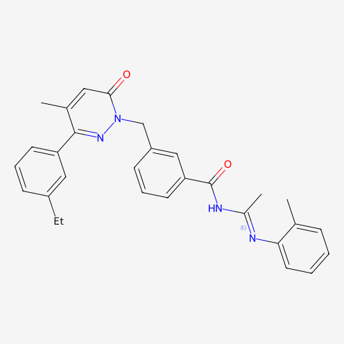 CCc1cccc(-c2nn(Cc3cccc(C(=O)N/C(C)=N/c4ccccc4C)c3)c(=O)cc2C)c1